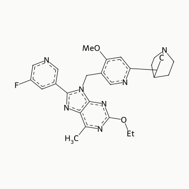 CCOc1nc(C)c2nc(-c3cncc(F)c3)n(Cc3cnc(C4CN5CCC4CC5)cc3OC)c2n1